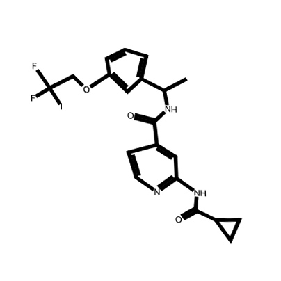 CC(NC(=O)c1ccnc(NC(=O)C2CC2)c1)c1cccc(OCC(F)(F)I)c1